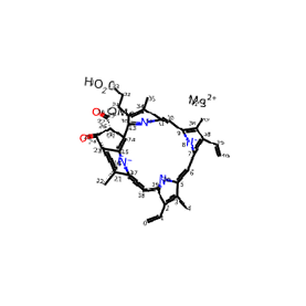 C=CC1=C(C)c2cc3[n-]c(cc4nc(c5c6[n-]c(cc1n2)c(C)c6C(=O)[C@@H]5C(=O)OC)C(CCC(=O)O)=C4C)c(C)c3C=C.[Mg+2]